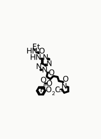 CCNC(=O)Nc1ncnc2c1ncn2C1OC(CCC(=O)N2CCC[C@H]2C(=O)O)C2O[C@H](c3ccccc3)OC21